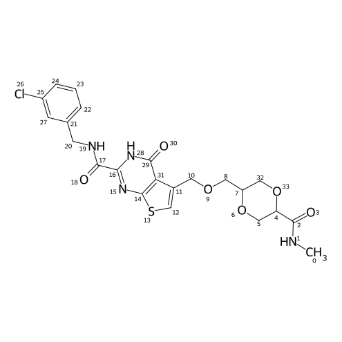 CNC(=O)C1COC(COCc2csc3nc(C(=O)NCc4cccc(Cl)c4)[nH]c(=O)c23)CO1